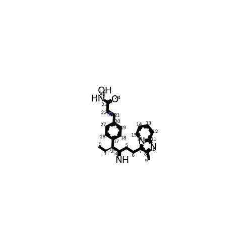 CC[C@H](C(=N)CCc1c(C)nc2ccccn12)c1ccc(/C=C/C(=O)NO)cc1